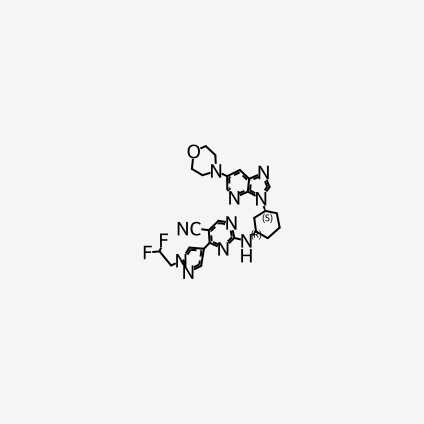 N#Cc1cnc(N[C@@H]2CCC[C@H](n3cnc4cc(N5CCOCC5)cnc43)C2)nc1-c1cnn(CC(F)F)c1